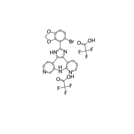 Brc1ccc2c(c1-c1nc3c([nH]1)-c1ccncc1Nc1ncccc1-3)OCO2.O=C(O)C(F)(F)F.O=C(O)C(F)(F)F